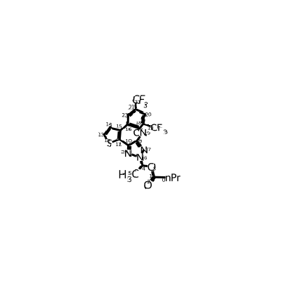 CCCC(=O)OC(C)n1nc(C#N)c(-c2sccc2-c2cc(C(F)(F)F)cc(C(F)(F)F)c2)n1